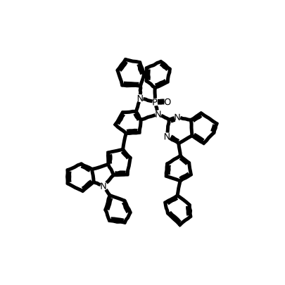 O=P1(c2ccccc2)N(c2ccccc2)c2ccc(-c3ccc4c(c3)c3ccccc3n4-c3ccccc3)cc2N1c1nc(-c2ccc(-c3ccccc3)cc2)c2ccccc2n1